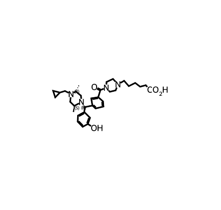 C[C@@H]1CN([C@@H](c2cccc(O)c2)c2cccc(C(=O)N3CCN(CCCCCC(=O)O)CC3)c2)[C@@H](C)CN1CC1CC1